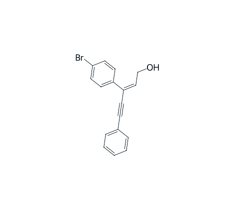 OCC=C(C#Cc1ccccc1)c1ccc(Br)cc1